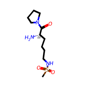 CS(=O)(=O)NCCCC[C@H](N)C(=O)N1CCCC1